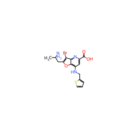 CC(N)Cc1oc2c(NCc3cccs3)cc(C(=O)O)nc2c1Br